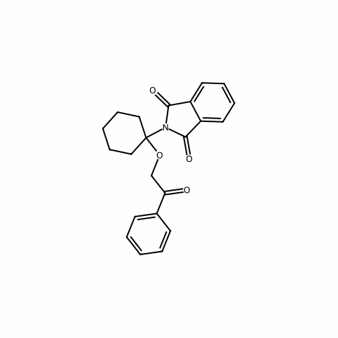 O=C(COC1(N2C(=O)c3ccccc3C2=O)CCCCC1)c1ccccc1